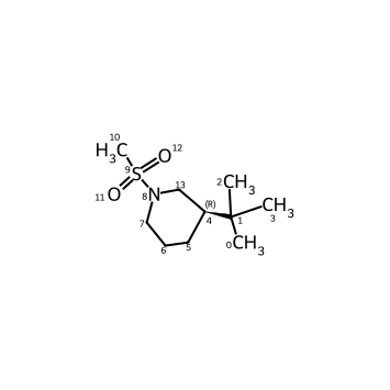 CC(C)(C)[C@H]1CCCN(S(C)(=O)=O)C1